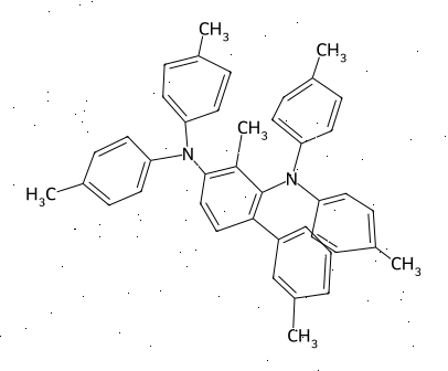 Cc1ccc(N(c2ccc(C)cc2)c2ccc(-c3cccc(C)c3)c(N(c3ccc(C)cc3)c3ccc(C)cc3)c2C)cc1